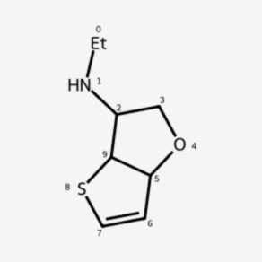 CCNC1COC2C=CSC12